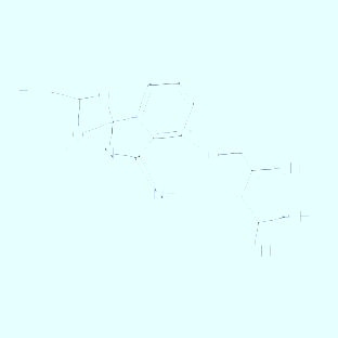 CC(C)CC(C)COc1cccc2c1C(=N)NC21OC(C)O1